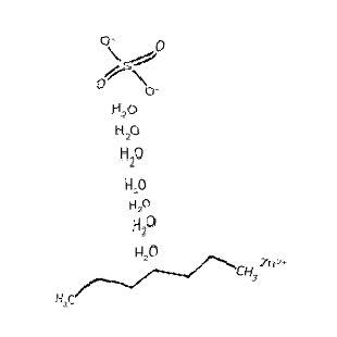 CCCCCCC.O.O.O.O.O.O.O.O=S(=O)([O-])[O-].[Zn+2]